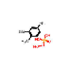 CC(C)(C)c1cc[c]([AlH2])c(C(C)(C)C)c1.O=P(O)(O)OO